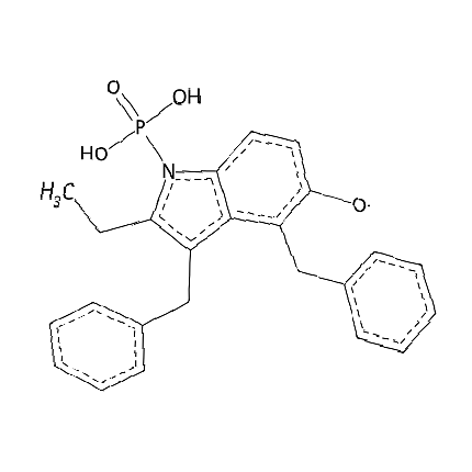 CCc1c(Cc2ccccc2)c2c(Cc3ccccc3)c([O])ccc2n1P(=O)(O)O